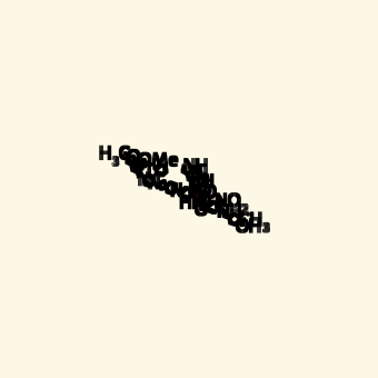 COc1cc(CN2CCN(C3CC4(CCN(c5ccc(C(=O)NS(=O)(=O)c6ccc(NCC7CCC(C)(O)CC7)c([N+](=O)[O-])c6)c(N6c7cc8cc[nH]c8nc7O[C@H]7COCC[C@@H]76)c5)CC4)C3)[C@H](c3ccccc3C(C)C)C2)cc2cc(C)oc12